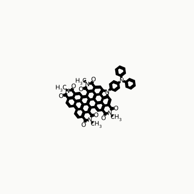 Cn1c(=O)c2ccc3c4ccc5c(=O)n(C)c(=O)c6c5c4c4c5c(cc(c1=O)c2c35)c1c2c(=O)n(C)c(=O)c3cc5c7c(c32)c2c3c(cc8c(=O)n(C)c(=O)c9cc(c7c3c89)n5-c3ccc(N(c5ccccc5)c5ccccc5)cc3)c6c4c12